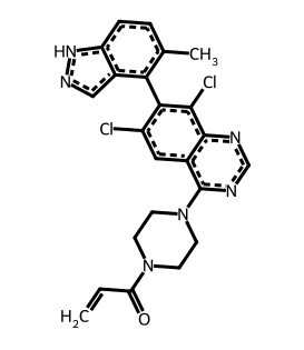 C=CC(=O)N1CCN(c2ncnc3c(Cl)c(-c4c(C)ccc5[nH]ncc45)c(Cl)cc23)CC1